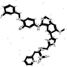 COc1cc2ncnc(Nc3ccc(OCc4cccc(F)c4)c(Br)c3)c2cc1-c1csc(CNC(Cc2ccccn2)=S(=O)=O)n1